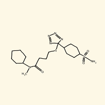 CN(C(=O)CCCSC1(C2CCC(S(N)(=O)=O)CC2)N=NN=N1)C1CCCCC1